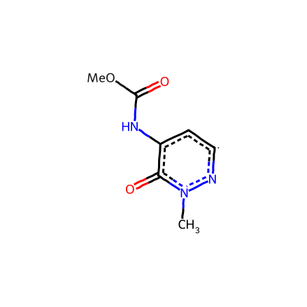 COC(=O)Nc1c[c]nn(C)c1=O